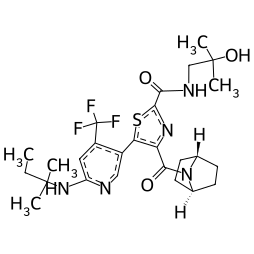 CCC(C)(C)Nc1cc(C(F)(F)F)c(-c2sc(C(=O)NCC(C)(C)O)nc2C(=O)N2[C@H]3CC[C@H]2CC3)cn1